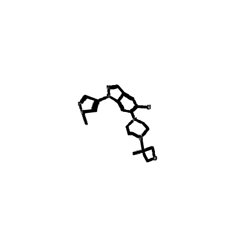 Cn1cc(-n2ncc3cc(Cl)c(N4CCN(C5(C)COC5)CC4)cc32)cn1